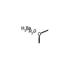 COC.O.[BaH2]